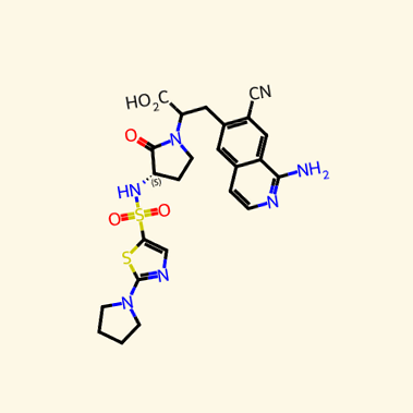 N#Cc1cc2c(N)nccc2cc1CC(C(=O)O)N1CC[C@H](NS(=O)(=O)c2cnc(N3CCCC3)s2)C1=O